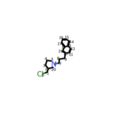 ClCC1CCCN(CCCc2ccc3ccccc3c2)C1